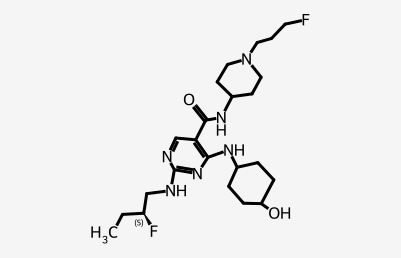 CC[C@H](F)CNc1ncc(C(=O)NC2CCN(CCCF)CC2)c(NC2CCC(O)CC2)n1